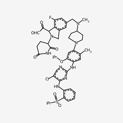 Cc1cc(Nc2ncc(Cl)c(Nc3ccccc3S(=O)(=O)C(C)C)n2)c(OC(C)C)cc1N1CCC(N(C)Cc2cc(F)c3c(c2)CN(C2CCC(=O)NC2=O)C3C(=O)C=O)CC1